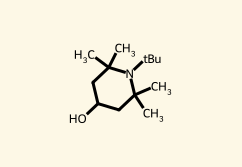 CC(C)(C)N1C(C)(C)CC(O)CC1(C)C